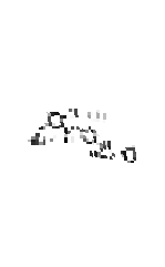 Cl.Clc1ccc2c(c1NCc1ccc(C3=NC(c4ccccc4)CN3)cc1)CCNCC2